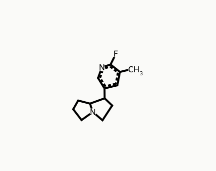 Cc1cc(C2CCN3CCCC23)cnc1F